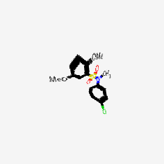 COc1ccc(OC)c(S(=O)(=O)N(C)c2ccc(Cl)cc2)c1